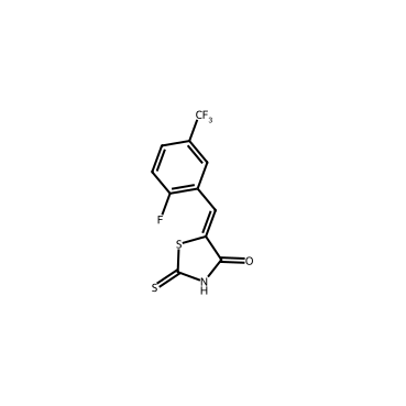 O=C1NC(=S)S/C1=C\c1cc(C(F)(F)F)ccc1F